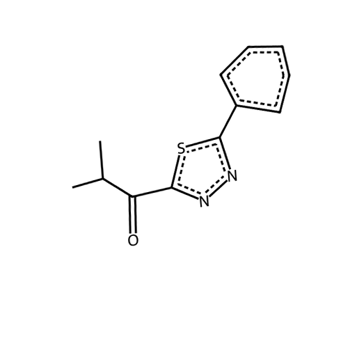 CC(C)C(=O)c1nnc(-c2ccccc2)s1